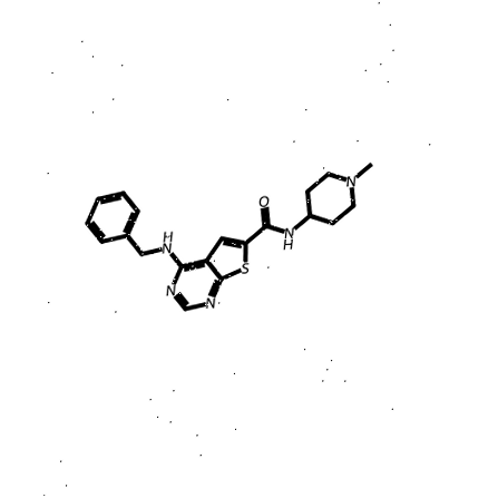 CN1CCC(NC(=O)c2cc3c(NCc4ccccc4)ncnc3s2)CC1